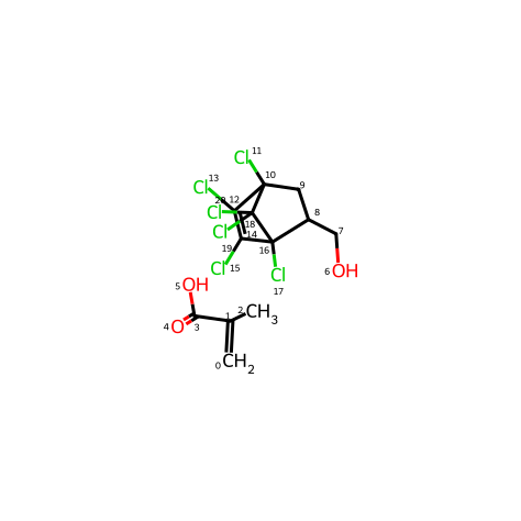 C=C(C)C(=O)O.OCC1CC2(Cl)C(Cl)=C(Cl)C1(Cl)C2(Cl)Cl